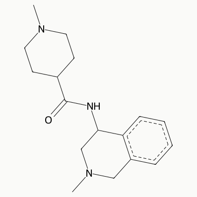 CN1CCC(C(=O)NC2CN(C)Cc3ccccc32)CC1